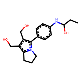 CCC(O)Nc1ccc(-c2c(CO)c(CO)c3n2CCC3)cc1